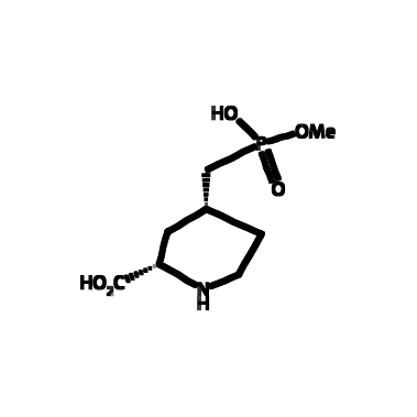 COP(=O)(O)C[C@@H]1CCN[C@H](C(=O)O)C1